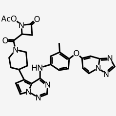 CC(=O)ON1C(=O)CC1C(=O)N1CCC(c2ccn3ncnc(Nc4ccc(Oc5ccn6ncnc6c5)c(C)c4)c23)CC1